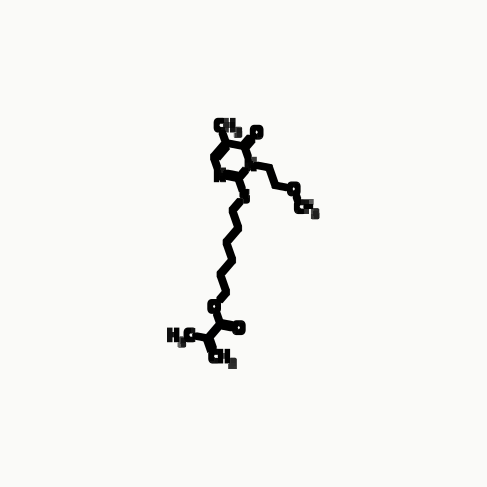 C=C(C)C(=O)OCCCCCCSc1ncc(C)c(=O)n1CCOC(F)(F)F